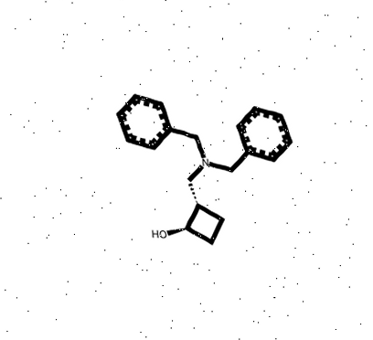 O[C@@H]1CC[C@H]1CN(Cc1ccccc1)Cc1ccccc1